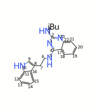 CCC(C)Nc1nc(NCCc2c[nH]c3ccccc23)c2ccccc2n1